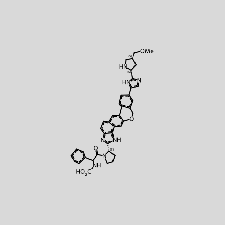 COC[C@@H]1CN[C@H](c2ncc(-c3ccc4c(c3)COc3cc5c(ccc6nc([C@@H]7CCCN7C(=O)C(NC(=O)O)c7ccccc7)[nH]c65)cc3-4)[nH]2)C1